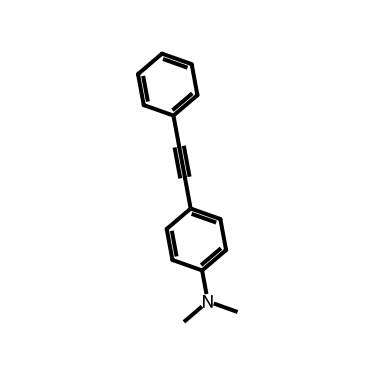 CN(C)c1ccc(C#Cc2ccccc2)cc1